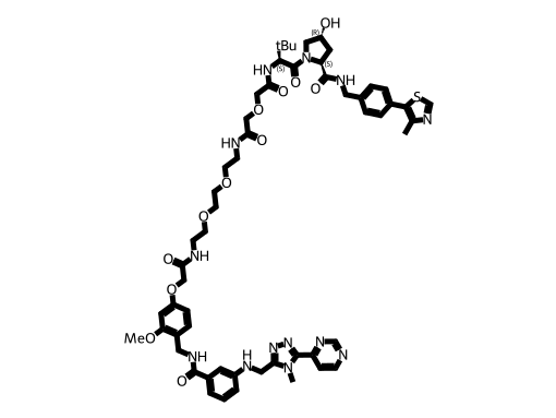 COc1cc(OCC(=O)NCCOCCOCCNC(=O)COCC(=O)N[C@H](C(=O)N2C[C@H](O)C[C@H]2C(=O)NCc2ccc(-c3scnc3C)cc2)C(C)(C)C)ccc1CNC(=O)c1cccc(NCc2nnc(-c3ccncn3)n2C)c1